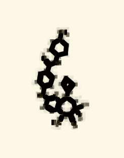 CN1CCC(NC(=O)c2ccc(Nc3ncc4c(n3)N(C3=CC=C3)CC(F)(F)C(=O)N4C)cc2)CC1